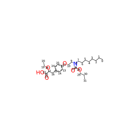 CCCCCCCCN(CCOc1ccc(CC(OCC)C(=O)O)cc1)C(=O)OCCC